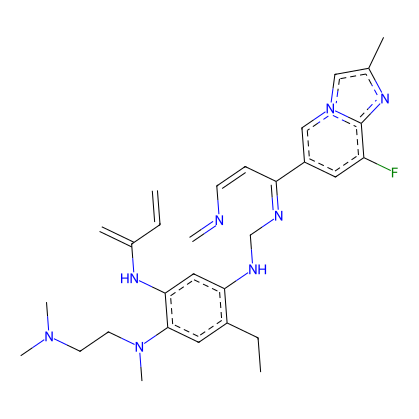 C=CC(=C)Nc1cc(NC/N=C(\C=C/N=C)c2cc(F)c3nc(C)cn3c2)c(CC)cc1N(C)CCN(C)C